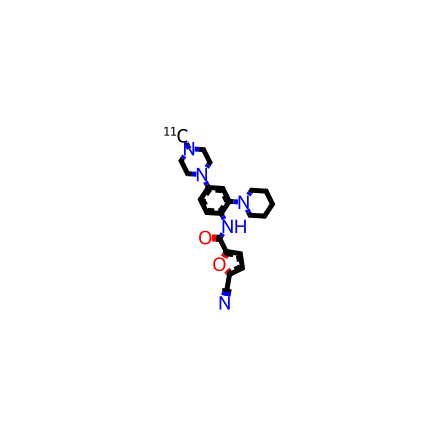 [11CH3]N1CCN(c2ccc(NC(=O)c3ccc(C#N)o3)c(N3CCCCC3)c2)CC1